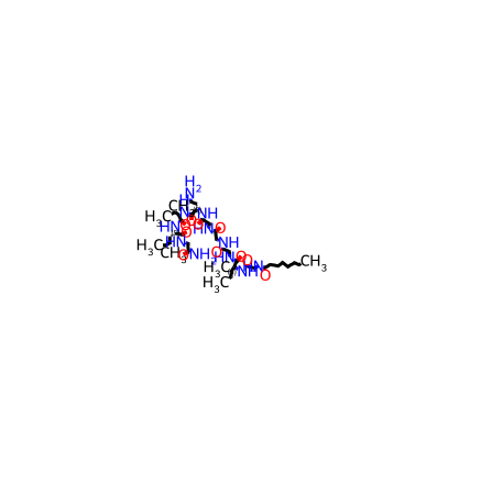 CCCCCCCC(=O)NCC(=O)NC(C(=O)NCC(=O)NCC(=O)NCC(=O)N[C@@H](CCN)C(=O)NC(C(=O)N[C@@H](CCC(C)C)C(=O)NCC(N)=O)C(C)C)[C@@H](C)CC